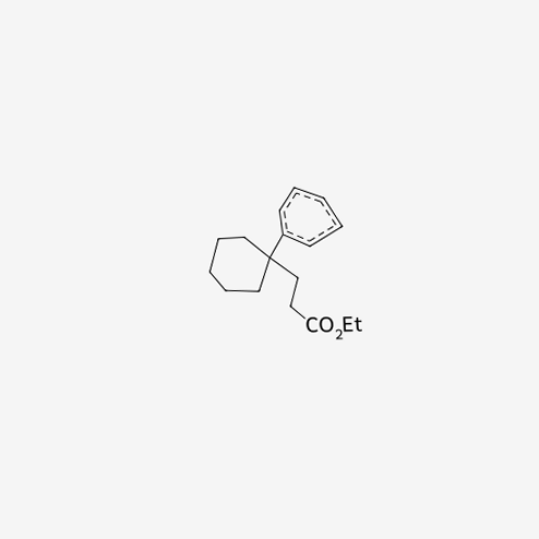 CCOC(=O)CCC1(c2ccccc2)CCCCC1